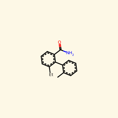 CCc1cccc(C(N)=O)c1-c1ccccc1C